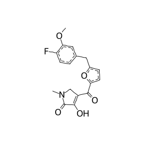 COc1cc(Cc2ccc(C(=O)C3=C(O)C(=O)N(C)C3)o2)ccc1F